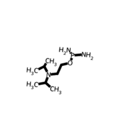 CC(C)N(CCOP(N)N)C(C)C